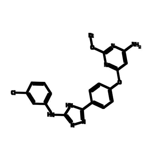 CCOc1nc(N)cc(Oc2ccc(-c3nnc(Nc4cccc(Cl)c4)[nH]3)cc2)n1